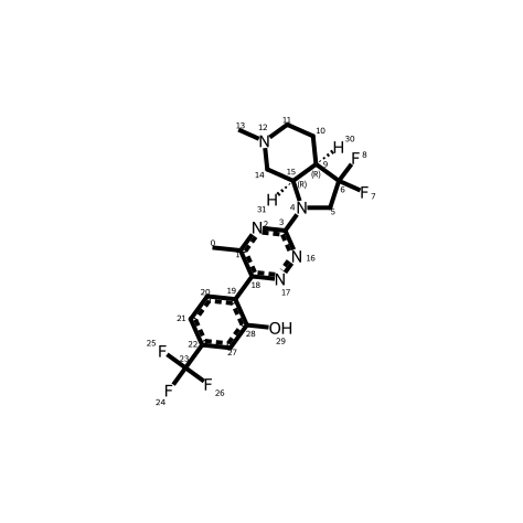 Cc1nc(N2CC(F)(F)[C@@H]3CCN(C)C[C@@H]32)nnc1-c1ccc(C(F)(F)F)cc1O